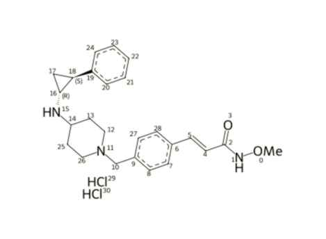 CONC(=O)C=Cc1ccc(CN2CCC(N[C@@H]3C[C@H]3c3ccccc3)CC2)cc1.Cl.Cl